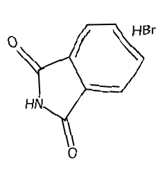 Br.O=C1NC(=O)c2ccccc21